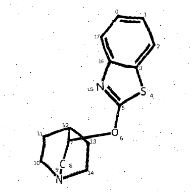 c1ccc2sc(OC3CN4CCC3CC4)nc2c1